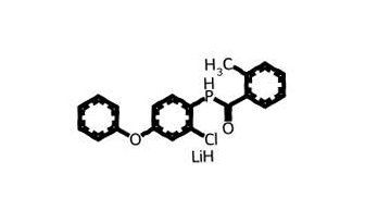 Cc1ccccc1C(=O)Pc1ccc(Oc2ccccc2)cc1Cl.[LiH]